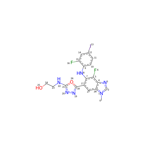 Cn1cnc2c(F)c(Nc3ccc(I)cc3F)c(-c3nnc(NCCO)o3)cc21